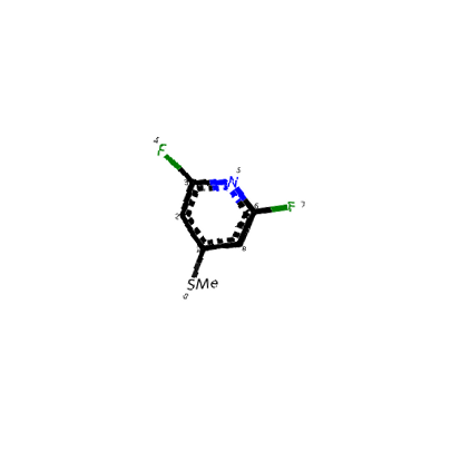 CSc1cc(F)nc(F)c1